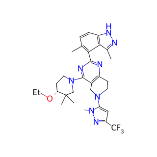 CCO[C@@H]1CCN(c2nc(-c3c(C)ccc4[nH]nc(C)c34)nc3c2CN(c2cc(C(F)(F)F)nn2C)CC3)CC1(C)C